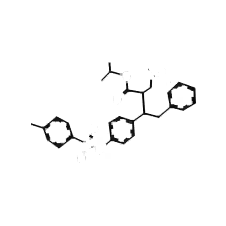 Cc1ccc(S(=O)(=O)Oc2ccc(C(Cc3ccccc3)C(CN)C(=O)OC(C)C)cc2)cc1